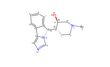 CC(=O)N1CC[C@H]([C@H]2c3ccccc3-c3cncn32)[C@@H](O)C1